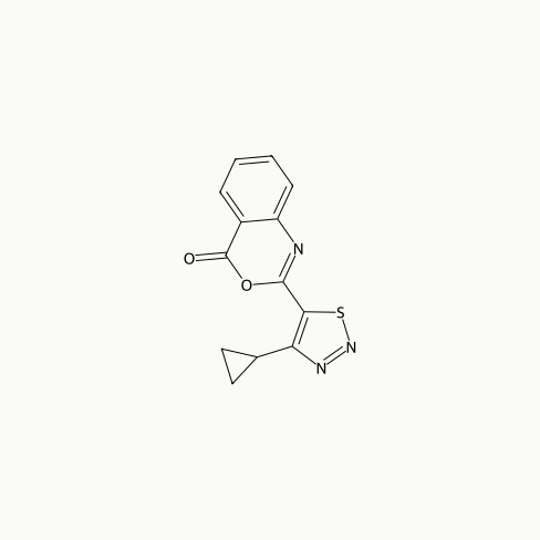 O=c1oc(-c2snnc2C2CC2)nc2ccccc12